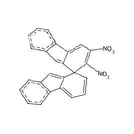 O=[N+]([O-])C1=C([N+](=O)[O-])C2(C=CC=C3C2=Cc2ccccc23)C2=Cc3ccccc3C2=C1